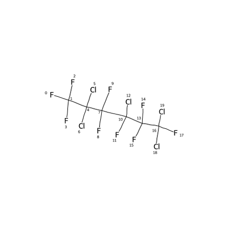 FC(F)(F)C(Cl)(Cl)C(F)(F)C(F)(Cl)C(F)(F)C(F)(Cl)Cl